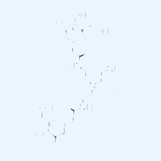 NCCN(CCNC(=O)C[C@@H]1O[C@H](CO)[C@H](O)[C@H](O)[C@H]1O)CCNC(=O)C[C@@H]1O[C@H](CO)[C@H](O)[C@H](O)[C@H]1O.S.S